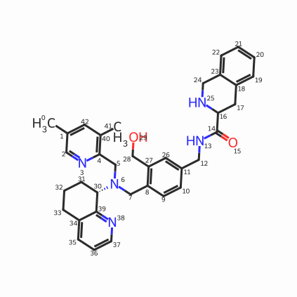 Cc1cnc(CN(Cc2ccc(CNC(=O)C3Cc4ccccc4CN3)cc2CO)[C@H]2CCCc3cccnc32)c(C)c1